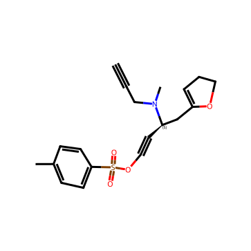 C#CCN(C)[C@H](C#COS(=O)(=O)c1ccc(C)cc1)CC1=CCCO1